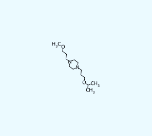 COCCCN1CCN(CCCOC(C)C)CC1